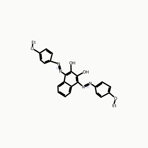 CCOc1ccc(/N=N/c2c(O)c(O)c(/N=N/c3ccc(OCC)cc3)c3ccccc23)cc1